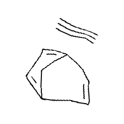 C#C.C1=CC2=CC=C1C2